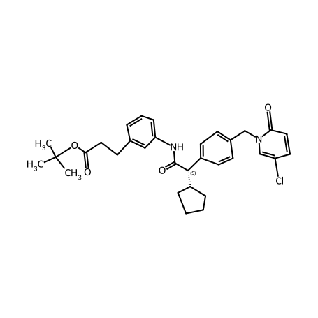 CC(C)(C)OC(=O)CCc1cccc(NC(=O)[C@H](c2ccc(Cn3cc(Cl)ccc3=O)cc2)C2CCCC2)c1